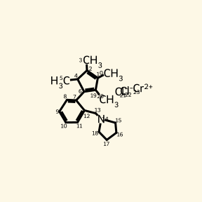 CC1=C(C)C(C)C(c2ccccc2CN2CCCC2)=C1C.[Cl-].[Cl-].[Cr+2]